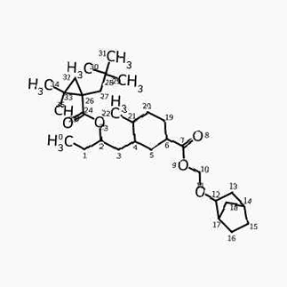 CCC(CC1CC(C(=O)OCOC2CC3CCC2C3)CCC1C)OC(=O)C1(CC(C)(C)C)CC1(C)C